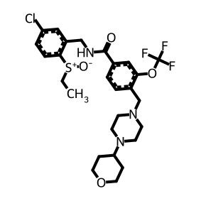 CC[S+]([O-])c1ccc(Cl)cc1CNC(=O)c1ccc(CN2CCN(C3CCOCC3)CC2)c(OC(F)(F)F)c1